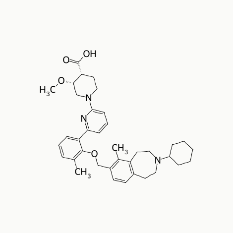 CO[C@H]1CN(c2cccc(-c3cccc(C)c3OCc3ccc4c(c3C)CCN(C3CCCCC3)CC4)n2)CC[C@H]1C(=O)O